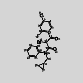 O=C(c1ccc(Cl)cc1F)C(Br)C(=O)N(CC1CC1)c1ccccc1